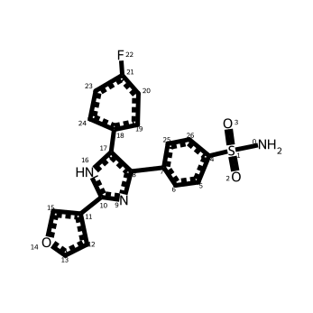 NS(=O)(=O)c1ccc(-c2nc(-c3ccoc3)[nH]c2-c2ccc(F)cc2)cc1